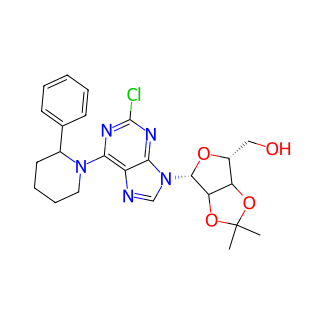 CC1(C)OC2C(O1)[C@@H](CO)O[C@H]2n1cnc2c(N3CCCCC3c3ccccc3)nc(Cl)nc21